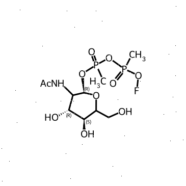 CC(=O)NC1[C@@H](OP(C)(=O)OP(C)(=O)OF)OC(CO)[C@@H](O)[C@@H]1O